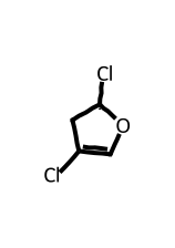 Cl[C]1CC(Cl)=CO1